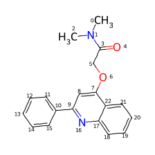 CN(C)C(=O)COc1cc(-c2ccccc2)nc2ccccc12